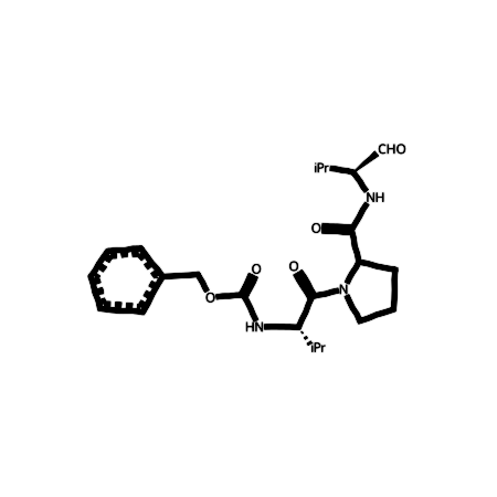 CC(C)[C@H](NC(=O)OCc1ccccc1)C(=O)N1CCCC1C(=O)N[C@H](C=O)C(C)C